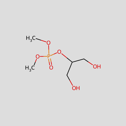 COP(=O)(OC)OC(CO)CO